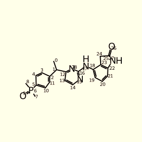 CC(c1ccc(P(C)(C)=O)cc1)c1ccnc(Nc2cccc3c2CC(=O)N3)n1